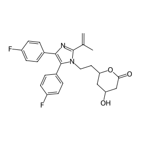 C=C(C)c1nc(-c2ccc(F)cc2)c(-c2ccc(F)cc2)n1CCC1CC(O)CC(=O)O1